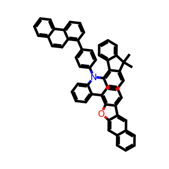 CC1(C)c2ccccc2-c2c(N(c3ccc(-c4cccc5c4ccc4ccccc45)cc3)c3ccccc3-c3cccc4c3oc3cc5ccccc5cc34)cccc21